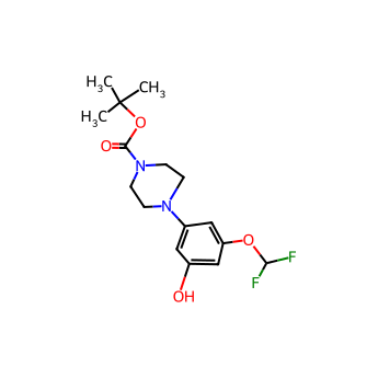 CC(C)(C)OC(=O)N1CCN(c2cc(O)cc(OC(F)F)c2)CC1